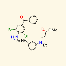 CCN(CCC(=O)OC)c1cccc(NC(C)=O)c1.Nc1c(Br)cc(C(=O)c2ccccc2)cc1Br